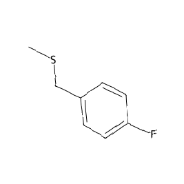 CSCc1ccc(F)cc1